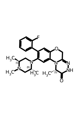 C[C@@H]1CN(C)[C@@H](C)CN1c1cc2c(cc1-c1ccccc1F)OCC1=NNC(=O)[C@H](C)N12